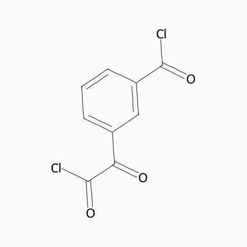 O=C(Cl)C(=O)c1cccc(C(=O)Cl)c1